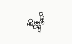 O=C(Nc1c[nH]c2ccc(Nc3ccccc3)cc12)N1CCc2ccccc2C1